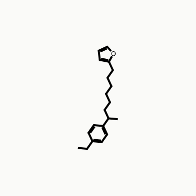 CCc1ccc(C(C)CCCCCCc2ccco2)cc1